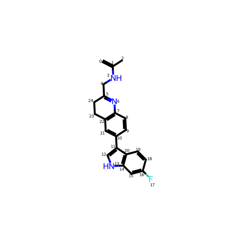 C=C(C)NCC1=Nc2ccc(-c3c[nH]c4cc(F)ccc34)cc2CC1